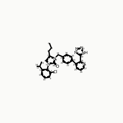 CCCc1cn(-c2c(Cl)cccc2C(C)C)c(=O)n1Cc1ccc(-c2cccnc2-c2nnn[nH]2)cc1